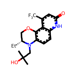 CC[C@@H]1COc2c(ccc3[nH]c(=O)cc(C(F)(F)F)c23)N1CC(C)(C)O